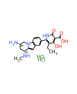 CCc1c(-c2ccc3c(c2)cc2n3C[C@H](N)C[C@H]2NC)[nH]c(=O)c(C(=O)O)c1O.Cl.Cl